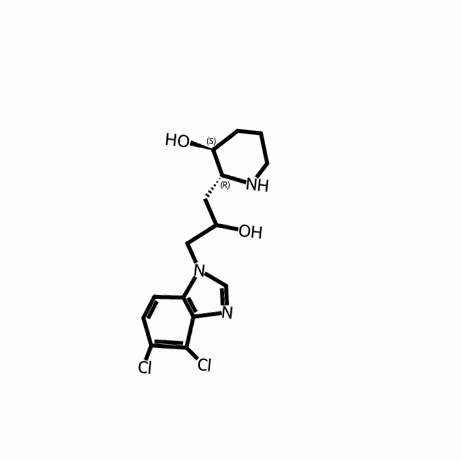 OC(C[C@H]1NCCC[C@@H]1O)Cn1cnc2c(Cl)c(Cl)ccc21